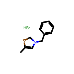 Br.CC1=CN(Cc2ccccc2)CS1